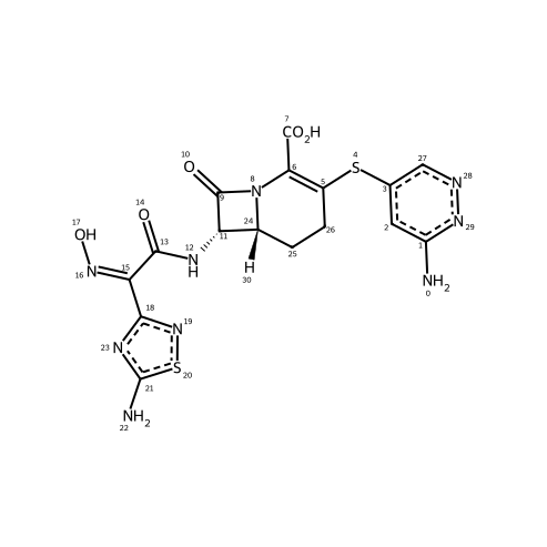 Nc1cc(SC2=C(C(=O)O)N3C(=O)[C@@H](NC(=O)/C(=N\O)c4nsc(N)n4)[C@H]3CC2)cnn1